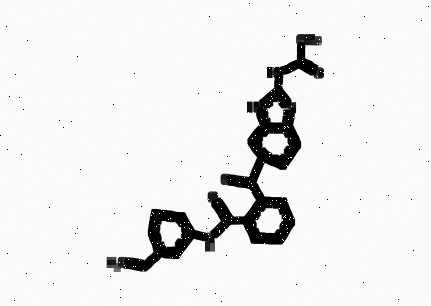 C=Cc1cccc(NC(=O)c2ccccc2C(=O)c2ccc3nc(NC(=O)OC)[nH]c3c2)c1